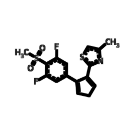 Cc1csc(C2=CCC=C2c2cc(F)c(S(C)(=O)=O)c(F)c2)n1